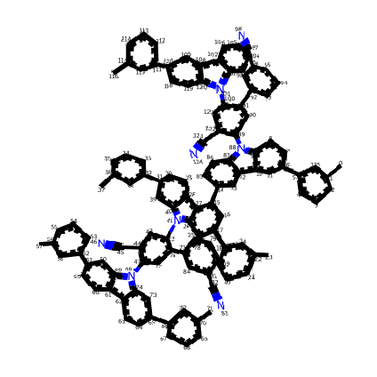 Cc1cccc(-c2ccc3c(c2)c2cc(-c4cc(-c5cccc(C)c5)cc5c4c4ccc(-c6cccc(C)c6)cc4n5-c4cc(C#N)c(-n5c6cc(-c7cccc(C)c7)ccc6c6ccc(-c7cccc(C)c7)cc65)cc4-c4cccc(C#N)c4)ccc2n3-c2cc(-c3cccc(C#N)c3)c(-n3c4ccccc4c4cc(-c5cccc(C)c5)ccc43)cc2C#N)c1